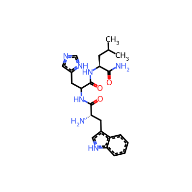 CC(C)C[C@H](NC(=O)C(Cc1cnc[nH]1)NC(=O)[C@@H](N)Cc1c[nH]c2ccccc12)C(N)=O